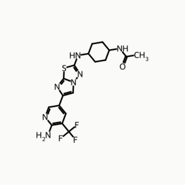 CC(=O)NC1CCC(Nc2nn3cc(-c4cnc(N)c(C(F)(F)F)c4)nc3s2)CC1